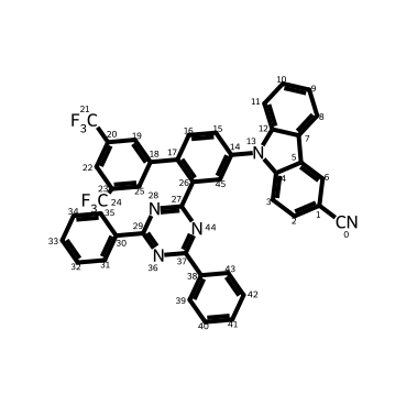 N#Cc1ccc2c(c1)c1ccccc1n2-c1ccc(-c2cc(C(F)(F)F)cc(C(F)(F)F)c2)c(-c2nc(-c3ccccc3)nc(-c3ccccc3)n2)c1